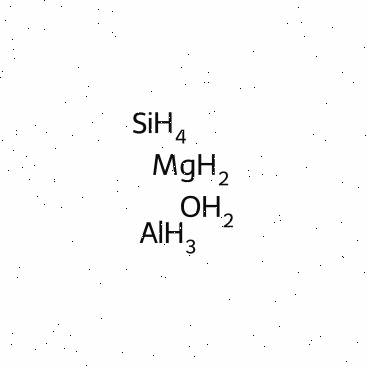 O.[AlH3].[MgH2].[SiH4]